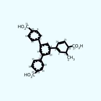 CC1C=C(c2cc(-c3ccc(C(=O)O)cc3)cc(-c3ccc(C(=O)O)cc3)c2)C=CC1C(=O)O